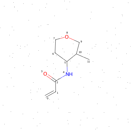 C=CC(=O)NC1CCOCC1C